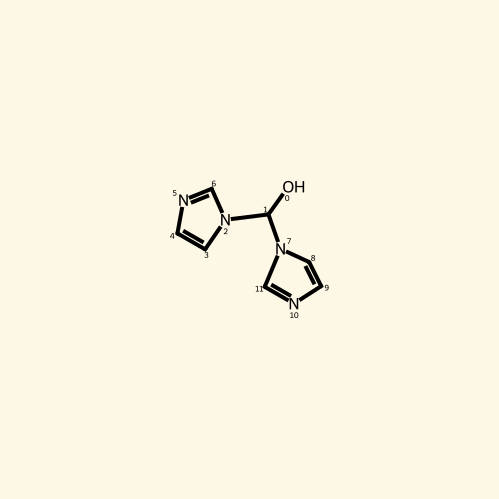 OC(n1ccnc1)n1ccnc1